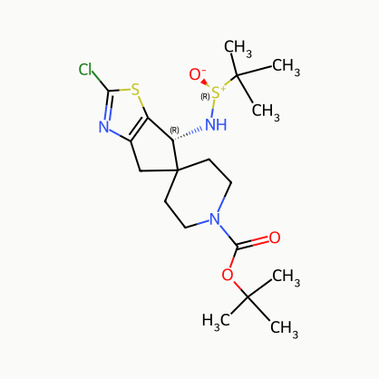 CC(C)(C)OC(=O)N1CCC2(CC1)Cc1nc(Cl)sc1[C@@H]2N[S@@+]([O-])C(C)(C)C